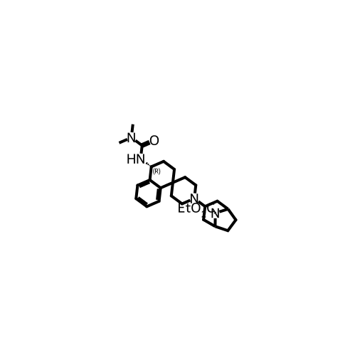 CCOC(=O)N1C2CCC1CC(N1CCC3(CC[C@@H](NC(=O)N(C)C)c4ccccc43)CC1)C2